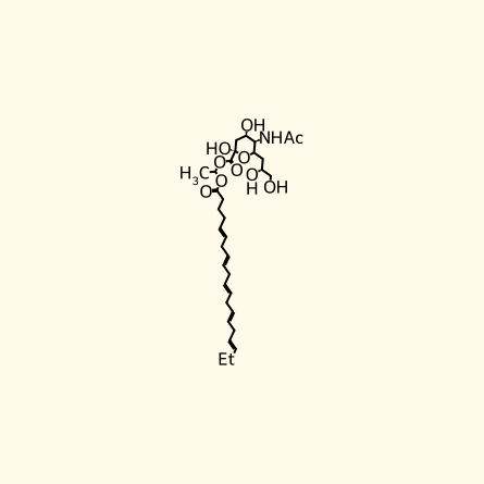 CC/C=C/C/C=C/C/C=C/C/C=C/C/C=C/CCCC(=O)OC(C)OC(=O)[C@@]1(O)C[C@@H](O)[C@@H](NC(C)=O)C(C[C@H](O)CO)O1